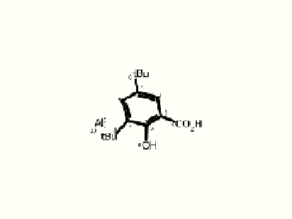 CC(C)(C)c1cc(C(=O)O)c(O)c(C(C)(C)C)c1.[Al]